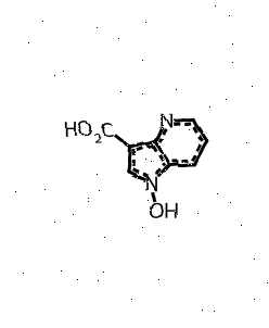 O=C(O)c1cn(O)c2cccnc12